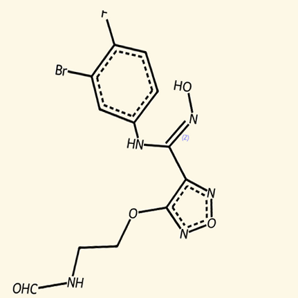 O=CNCCOc1nonc1/C(=N/O)Nc1ccc(F)c(Br)c1